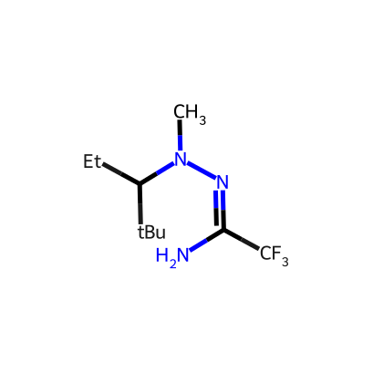 CCC(N(C)/N=C(\N)C(F)(F)F)C(C)(C)C